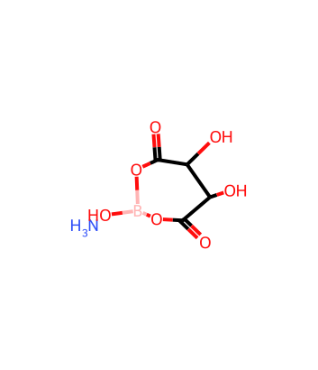 N.O=C1OB(O)OC(=O)C(O)C1O